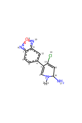 [2H]N1C=C(c2ccc3nonc3c2)C(Cl)=CC1N